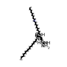 CCCCCCCC/C=C/CCCCCCCC(=O)NC(CCCNC(=N)N)C(=O)NCCCCCCCCCCCCCCCC